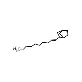 CCCCCCCCC=CC1CC2C=CC1C2